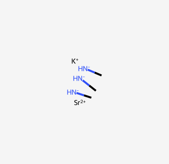 C[NH-].C[NH-].C[NH-].[K+].[Sr+2]